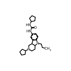 CCCN1c2ccc(NC(=O)NC3CCCC3)cc2C2CN(C3CCCC3)CCC21